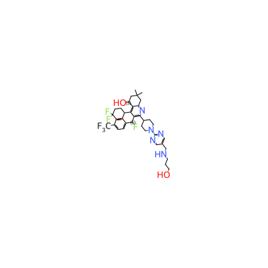 CC1(C)Cc2nc(C3CCN(c4ncc(CNCCCO)cn4)CC3)c([C@@H](F)c3ccc(C(F)(F)F)cc3)c(C3CCC(F)(F)CC3)c2[C@@H](O)C1